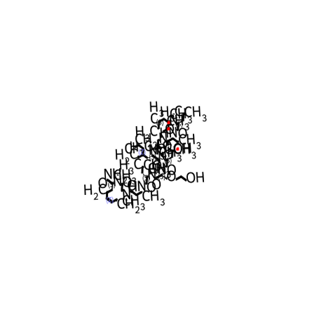 C=C/C=C\C(=C)C[C@@H](C(N)=O)N(C)C(=O)CN(C)C(=O)CC(C)NC(=O)[C@H](CC(C)C)N(C)C(=O)[C@H](COCCCO)NC(=O)[C@H](CC(C)C)N(C)C(=O)[C@H](C/C(C=C)=C/C(=C)Cl)N(C)C(=O)CN(CCCC)C(=O)C(NC(=O)[C@H](CC(C)C)N(C)C(=O)C[C@@H](C)CC)C(C)O